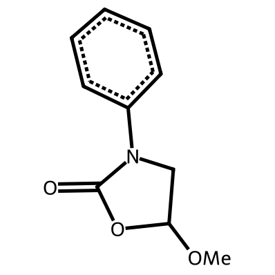 COC1CN(c2ccccc2)C(=O)O1